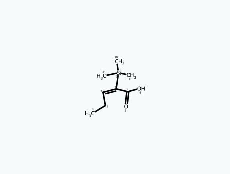 CC/C=C(\C(=O)O)[Si](C)(C)C